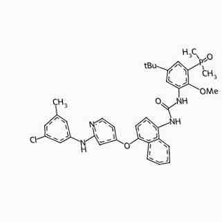 COc1c(NC(=O)Nc2ccc(Oc3ccnc(Nc4cc(C)cc(Cl)c4)c3)c3ccccc23)cc(C(C)(C)C)cc1P(C)(C)=O